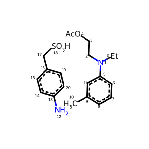 CCN(CCOC(C)=O)c1cccc(C)c1.Nc1ccc(CS(=O)(=O)O)cc1